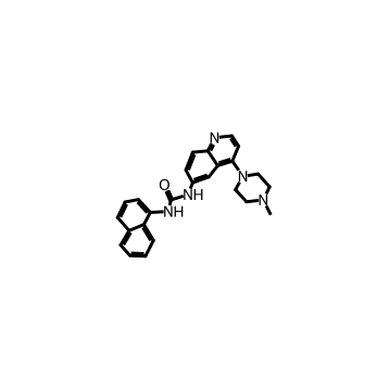 CN1CCN(c2ccnc3ccc(NC(=O)Nc4cccc5ccccc45)cc23)CC1